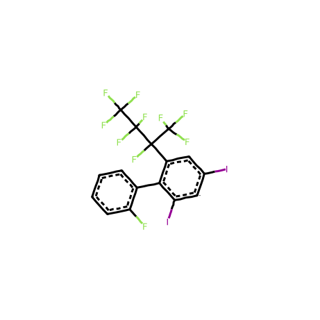 Fc1ccccc1-c1c(I)[c]c(I)cc1C(F)(C(F)(F)F)C(F)(F)C(F)(F)F